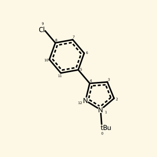 CC(C)(C)n1ccc(-c2ccc(Cl)cc2)n1